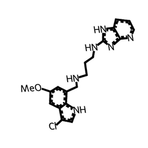 COc1cc(CNCCCNc2nc3ncccc3[nH]2)c2[nH]cc(Cl)c2c1